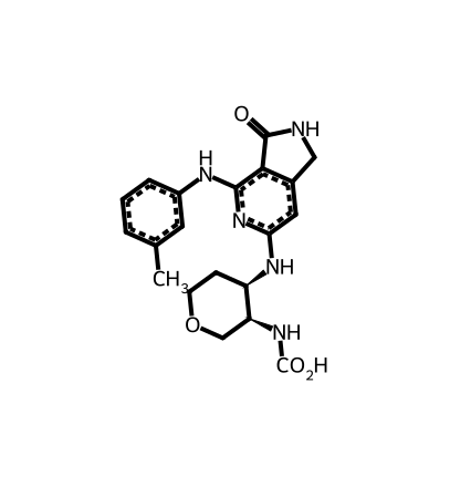 Cc1cccc(Nc2nc(N[C@@H]3CCOC[C@@H]3NC(=O)O)cc3c2C(=O)NC3)c1